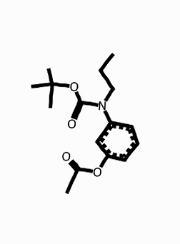 CCCN(C(=O)OC(C)(C)C)c1cccc(OC(C)=O)c1